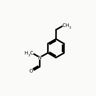 CCc1cccc(N(C)C=O)c1